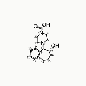 O=C(O)N1CCN([C@@H]2c3ccccc3CCC[C@H]2O)CC1